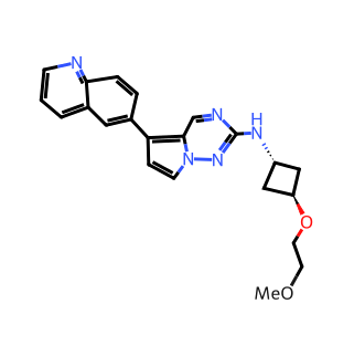 COCCO[C@H]1C[C@H](Nc2ncc3c(-c4ccc5ncccc5c4)ccn3n2)C1